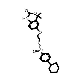 CC1(C)OC(=O)Nc2ccc(OCCCC[S+]([O-])c3ccc(C4CCCCC4)cc3)cc21